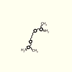 CCCc1cc(N)ccc1Cc1ccc(CCCCCc2ccc(Cc3ccc(N)cc3CCC)cc2)cc1